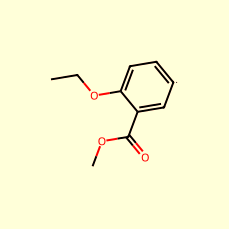 CCOc1cc[c]cc1C(=O)OC